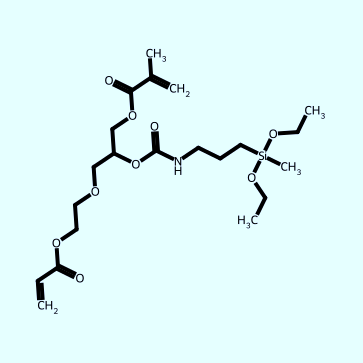 C=CC(=O)OCCOCC(COC(=O)C(=C)C)OC(=O)NCCC[Si](C)(OCC)OCC